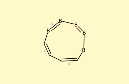 [B]1B=B\B=B/C=C\C=C/1